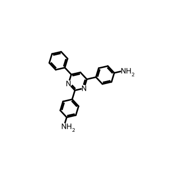 Nc1ccc(-c2cc(-c3ccccc3)nc(-c3ccc(N)cc3)n2)cc1